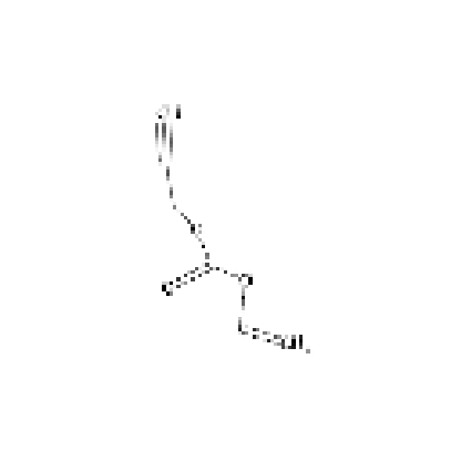 C#CCOC(=O)OC=C